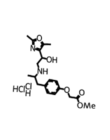 COC(=O)COc1ccc(CC(C)NCC(O)c2nc(C)oc2C)cc1.Cl.Cl